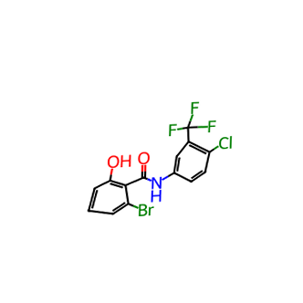 O=C(Nc1ccc(Cl)c(C(F)(F)F)c1)c1c(O)cccc1Br